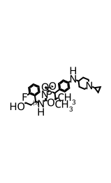 CC1(C)OC(N[C@@H](CCO)c2ccccc2F)=NS(=O)(=O)C1c1ccc(NC2CCN(C3CC3)CC2)cc1